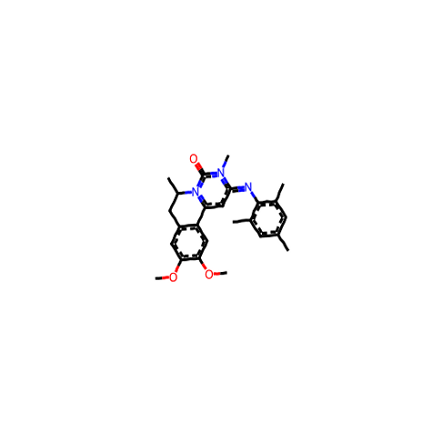 COc1cc2c(cc1OC)-c1cc(=Nc3c(C)cc(C)cc3C)n(C)c(=O)n1C(C)C2